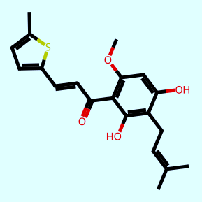 COc1cc(O)c(CC=C(C)C)c(O)c1C(=O)/C=C/c1ccc(C)s1